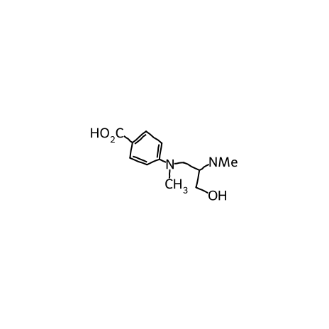 CNC(CO)CN(C)c1ccc(C(=O)O)cc1